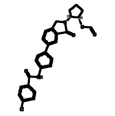 O=CO[C@H]1CCC[C@H]1N1Cc2ccc(-c3ccc(NC(=O)c4ccc(Cl)cc4)cc3)cc2C1=O